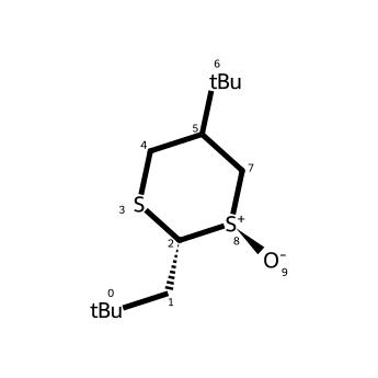 CC(C)(C)C[C@@H]1SCC(C(C)(C)C)C[S@@+]1[O-]